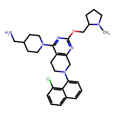 CN1CCCC1COc1nc2c(c(N3CCC(CN)CC3)n1)CCN(c1cccc3cccc(Cl)c13)C2